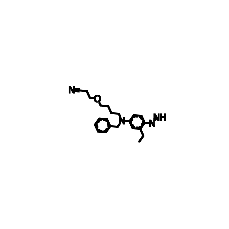 CCc1cc(N(CCCCOCCC#N)Cc2ccccc2)ccc1N=N